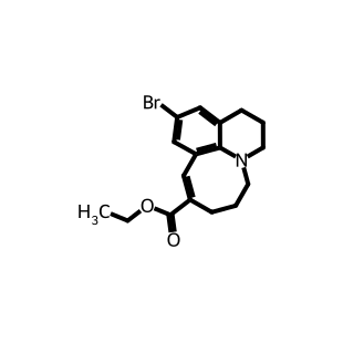 CCOC(=O)C1=Cc2cc(Br)cc3c2N(CCC1)CCC3